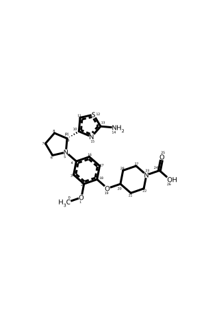 COc1cc(N2CCC[C@@H]2c2csc(N)n2)ccc1OC1CCN(C(=O)O)CC1